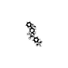 CN(C)[C@]1(c2ccccc2)CC[C@@]2(CC1)CN(c1ccc(S(C)(=O)=O)cc1)C(=O)N2